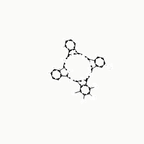 Clc1c(Cl)c(Cl)c2c3nc4nc(nc5[nH]c(nc6nc(nc([nH]3)c2c1Cl)-c1ccccc1-6)c1ccccc51)-c1ccccc1-4.[Al]